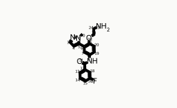 Cn1nccc1-c1cc(NC(=O)c2cccc(F)c2)ccc1OCCN